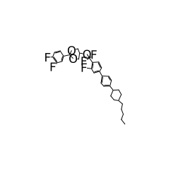 CCCCCC1CCC(c2ccc(-c3ccc(C(F)(F)OC4COC(c5ccc(F)c(F)c5)OC4)c(F)c3)cc2)CC1